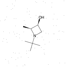 C[C@H]1[C@@H](O)CN1C(C)(C)C